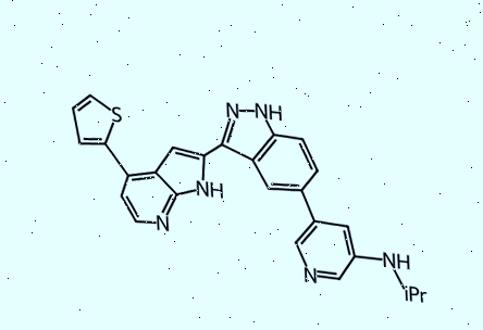 CC(C)Nc1cncc(-c2ccc3[nH]nc(-c4cc5c(-c6cccs6)ccnc5[nH]4)c3c2)c1